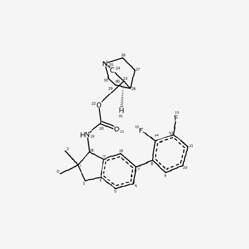 CC1(C)Cc2ccc(-c3cccc(F)c3F)cc2C1NC(=O)O[C@H]1CN2CCC1CC2